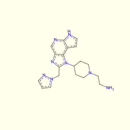 NCCN1CCC(n2c(Cn3cccn3)nc3cnc4[nH]ccc4c32)CC1